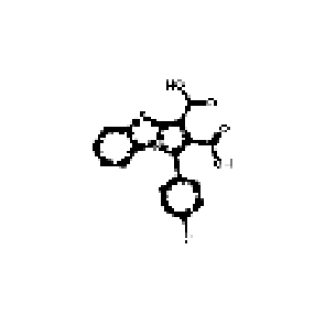 O=C(O)c1c(C(=O)O)c2sc3ccccc3n2c1-c1ccc(Cl)cc1